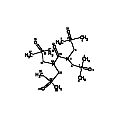 CP(C)(=O)CN(CP(C)(C)=O)C(=O)N(CP(C)(C)=O)CP(C)(C)=O